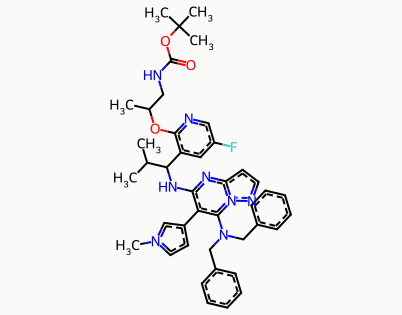 CC(CNC(=O)OC(C)(C)C)Oc1ncc(F)cc1C(Nc1nc2ccnn2c(N(Cc2ccccc2)Cc2ccccc2)c1-c1ccn(C)c1)C(C)C